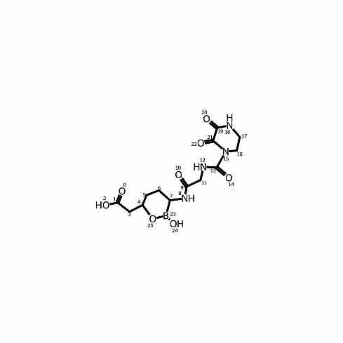 O=C(O)CC1CCC(NC(=O)CNC(=O)N2CCNC(=O)C2=O)B(O)O1